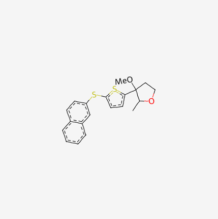 COC1(c2ccc(Sc3ccc4ccccc4c3)s2)CCOC1C